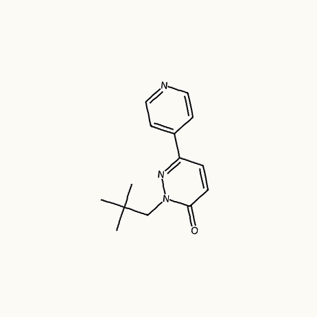 CC(C)(C)Cn1nc(-c2ccncc2)ccc1=O